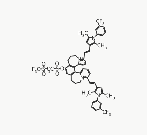 Cc1cc(/C=C/c2cccc3[n+]2CCCc2ccc4c(c2-3)-c2cccc(/C=C/c3cc(C)n(-c5cccc(C(F)(F)F)c5)c3C)[n+]2CCC4)c(C)n1-c1cccc(C(F)(F)F)c1.O=S(=O)([O-])C(F)(F)F.O=S(=O)([O-])C(F)(F)F